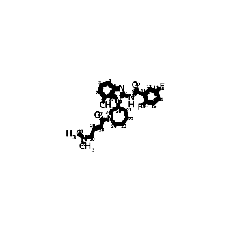 Cc1cccc2nc(NC(=O)c3cc(F)ccc3F)n(C3CCCCN(C(=O)C=CCN(C)C)C3)c12